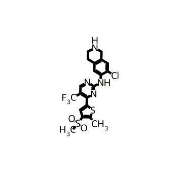 Cc1sc(-c2nc(Nc3cc4c(cc3Cl)CNCC4)ncc2C(F)(F)F)cc1S(C)(=O)=O